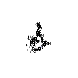 COc1ccc2cc3[n+](cc2c1OC(=O)CCCCCNC(=O)c1cc(/N=N/c2ccc(COC(=O)N(C)CCN(C)C(=O)n4ccc5c(N(C)[C@@H]6CN(C(=O)CC#N)CC[C@@H]6C)ncnc54)cc2)ccc1O)CCc1cc2c(cc1-3)OCO2